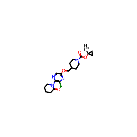 CC1(OC(=O)N2CCC(COc3cnc(N4CCCCC4=O)c(F)n3)CC2)CC1